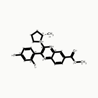 COC(=O)c1ccc2nc(-c3ccc(F)cc3F)c(N3CCC[C@@H]3C)nc2c1